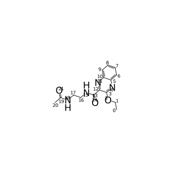 CCOc1nc2ccccc2nc1C(=O)NCCNC(C)=O